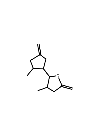 C=C1CC(C)C(C2OC(=C)CC2C)C1